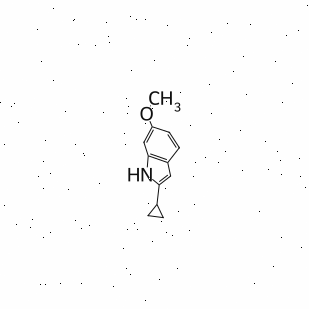 COc1ccc2cc(C3CC3)[nH]c2c1